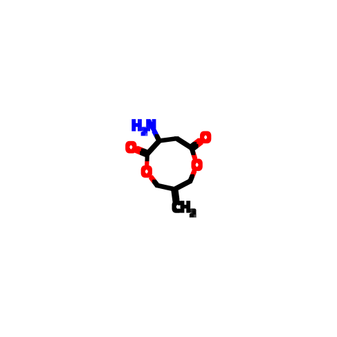 C=C1COC(=O)CC(N)C(=O)OC1